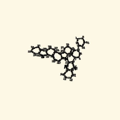 c1ccc(-c2ccc(-c3nc4ccccc4nc3-n3c4ccccc4c4c5ccc6c7ccccc7sc6c5ccc43)cc2)cc1